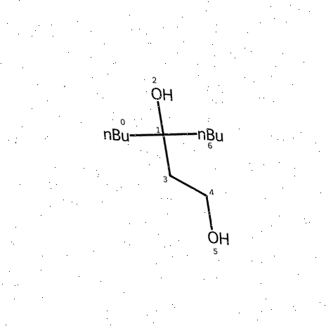 CCCCC(O)(CCO)CCCC